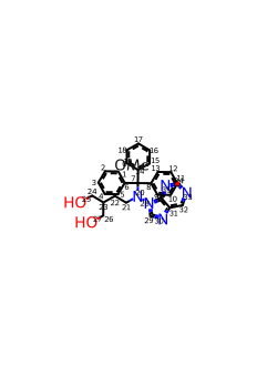 COc1ccccc1C(c1ccccc1)(c1ccccc1)N(CCC(CO)CO)n1cnc2cncnc21